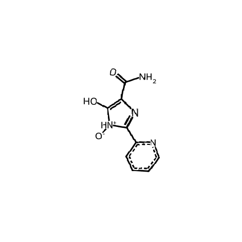 NC(=O)C1=C(O)[NH+]([O-])C(c2ccccn2)=N1